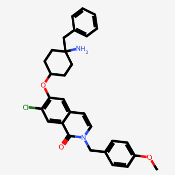 COc1ccc(Cn2ccc3cc(OC4CCC(N)(Cc5ccccc5)CC4)c(Cl)cc3c2=O)cc1